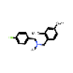 COc1ccc(CN(Cc2ccc(F)cc2)C(C)=O)c(OC)c1